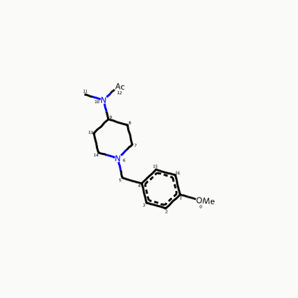 COc1ccc(CN2CCC(N(C)C(C)=O)CC2)cc1